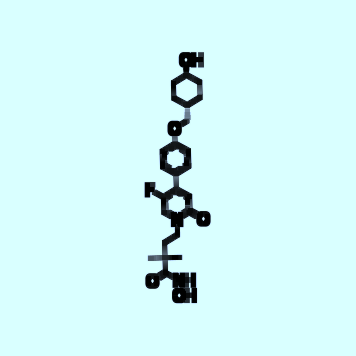 CC(C)(CCn1cc(F)c(-c2ccc(OC[C@H]3CC[C@H](O)CC3)cc2)cc1=O)C(=O)NO